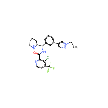 CCn1cc(-c2cccc([C@H](NC(=O)c3nccc(C(F)(F)F)c3Cl)[C@@H]3CCCCN3)c2)cn1